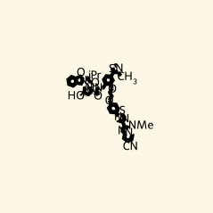 CNc1c(-c2cn3c(n2)sc2cc(OCCOc4cc(-c5scnc5C)ccc4CNC(=O)[C@@H]4C[C@@H](O)CN4C(=O)C(C(C)C)N4Cc5ccccc5C4=O)ccc23)nc2cc(C#N)ccn12